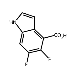 O=C(O)c1c(F)c(F)cc2[nH]ccc12